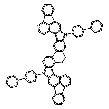 c1ccc(-c2ccc(-n3c4cc5c(cc4c4c6cccc7c6c(cc43)-c3ccccc3-7)-c3ccc4c(c3CC5)c3c5cccc6c5c(cc3n4-c3ccc(-c4ccccc4)cc3)-c3ccccc3-6)cc2)cc1